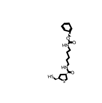 O=C(NCCCCCNC(=O)[C@@H]1CS[C@@H](CS)C1)OCc1ccccc1